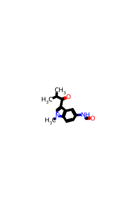 CC(C)C(=O)c1cn(C)c2ccc(NC=O)cc12